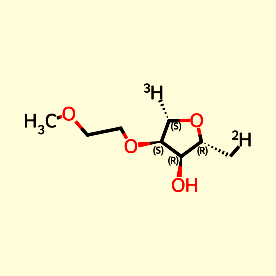 [2H]C[C@H]1O[C@@H]([3H])[C@H](OCCOC)[C@@H]1O